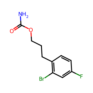 NC(=O)OCCCc1ccc(F)cc1Br